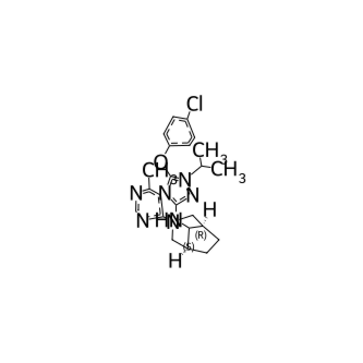 Cc1cc(N2C[C@H]3CC[C@@H](C2)C3Nc2nc(Oc3ccc(Cl)cc3)n(C(C)C)n2)ncn1